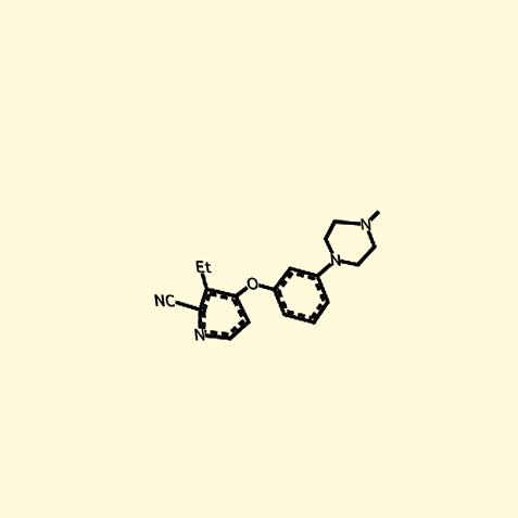 CCc1c(Oc2cccc(N3CCN(C)CC3)c2)ccnc1C#N